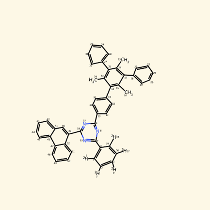 [2H]c1c([2H])c([2H])c(-c2nc(-c3ccc(-c4c(C)c(-c5ccccc5)c(C)c(-c5ccccc5)c4C)cc3)nc(-c3cc4ccccc4c4ccccc34)n2)c([2H])c1[2H]